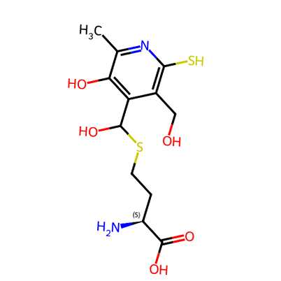 Cc1nc(S)c(CO)c(C(O)SCC[C@H](N)C(=O)O)c1O